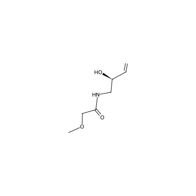 C=C[C@H](O)CNC(=O)COC